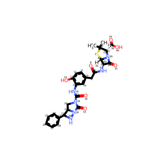 CC1(C)S[C@@H]2[C@H](NC(=O)Cc3ccc(O)c(NC(=O)N4CC5C(c6ccccc6)NN5C4=O)c3)C(=O)N2[C@H]1C(=O)O